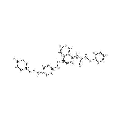 CN1CCN(CCOc2ccc(COc3ccc(NC(=O)NCc4ccncc4)c4ccccc34)cc2)CC1